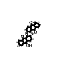 O=C1c2ccccc2C(O)=c2ccc3nc4c5c(ccc4nc3c21)=C(O)c1ccccc1C5=O